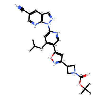 CC(C)[AsH]c1cc(-n2ncc3cc(C#N)cnc32)ncc1-c1cc(C2CN(C(=O)OC(C)(C)C)C2)no1